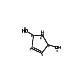 OC1C=CC(O)N1